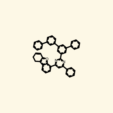 C1=Cc2oc3c(-c4cc(-c5ccccc5)nc(-c5cc(-c6ccccc6)cc(-c6cccc(-c7ccccc7)c6)c5)n4)cccc3c2CC1